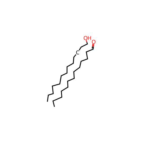 CCCCCCCCCCCCC=O.CCCCCCCCCCCCCO